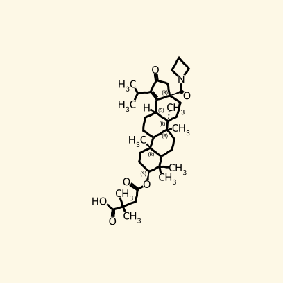 CC(C)C1=C2[C@H]3CCC4[C@@]5(C)CC[C@H](OC(=O)CC(C)(C)C(=O)O)C(C)(C)C5CC[C@@]4(C)[C@]3(C)CC[C@@]2(C(=O)N2CCC2)CC1=O